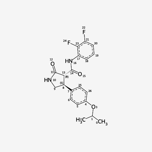 CC(C)Oc1ccc([C@H]2CNC(=O)[C@@H]2C(=O)Nc2cccc(F)c2F)cc1